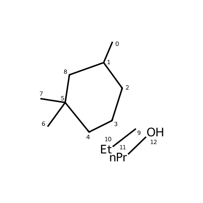 CC1CCCC(C)(C)C1.CCC.CCCO